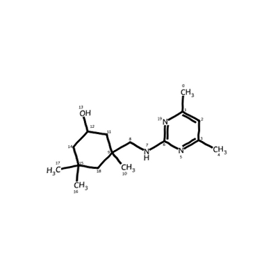 Cc1cc(C)nc(NCC2(C)CC(O)CC(C)(C)C2)n1